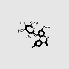 C=C(C)[C@@H]1CC(C)=C[C@H]1c1c(O)cc(CCCCC)cc1OC1O[C@H](C(=O)O)[C@@H](O)[C@H](O)[C@H]1O